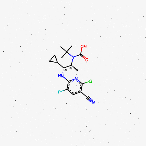 C[C@@H]([C@H](Nc1nc(Cl)c(C#N)cc1F)C1CC1)N(C(=O)O)C(C)(C)C